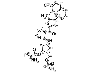 Cc1sc(C(=O)c2cncnc2NC2CC(COS(N)(=O)=O)C(OC(=O)[C@@H](N)C(C)C)C2)cc1[C@@H]1OCCc2ccc(Cl)cc21